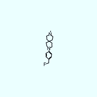 CN1CCC2(CC1)CCN(c1ccc(CF)cc1)CC2